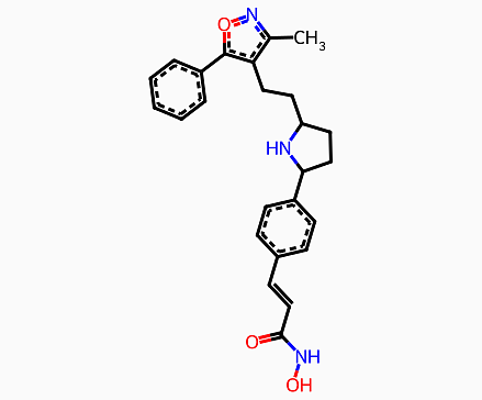 Cc1noc(-c2ccccc2)c1CCC1CCC(c2ccc(/C=C/C(=O)NO)cc2)N1